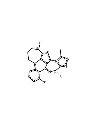 Cc1nnc2n1-c1sc3c(c1C(c1c(F)cccc1F)=N[C@H]2C)CCCC[C@H]3F